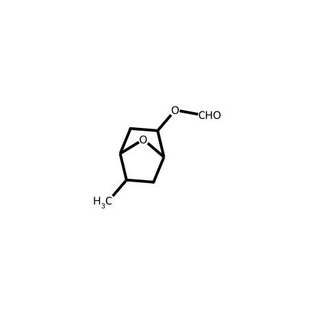 CC1CC2OC1CC2OC=O